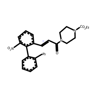 CCOC(=O)N1CCN(C(=O)/C=C/c2cc[c]c([N+](=O)[O-])c2-c2ccccc2C(C)C)CC1